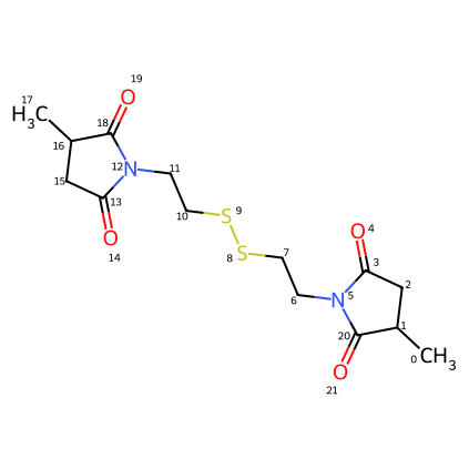 CC1CC(=O)N(CCSSCCN2C(=O)CC(C)C2=O)C1=O